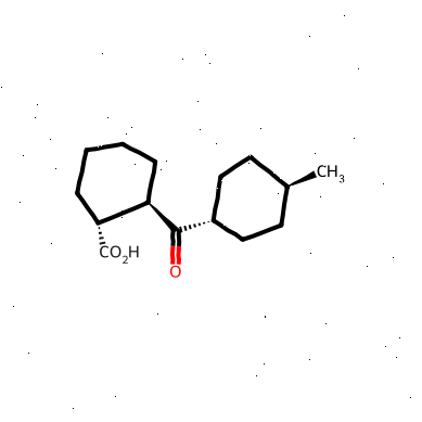 C[C@H]1CC[C@H](C(=O)[C@@H]2CCCC[C@H]2C(=O)O)CC1